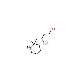 CC1(CC(O)CCO)CCCCN1